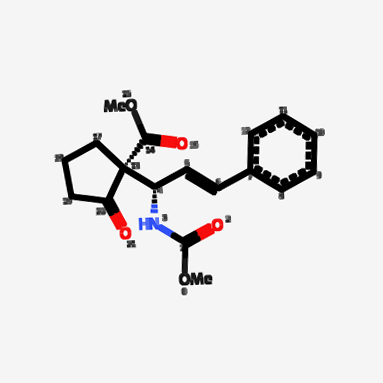 COC(=O)N[C@@H](/C=C/c1ccccc1)[C@]1(C(=O)OC)CCCC1=O